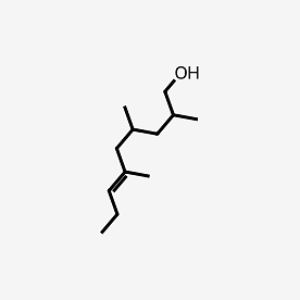 CC/C=C(\C)CC(C)CC(C)CO